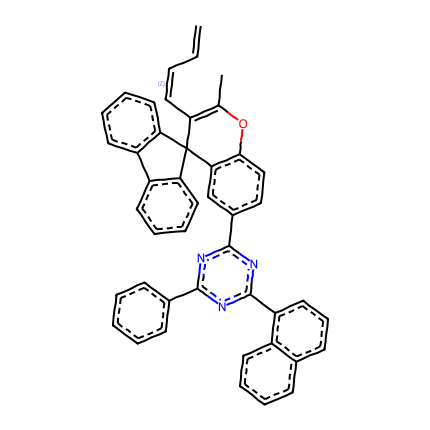 C=C/C=C\C1=C(C)Oc2ccc(-c3nc(-c4ccccc4)nc(-c4cccc5ccccc45)n3)cc2C12c1ccccc1-c1ccccc12